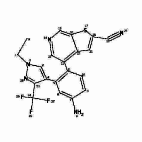 CCn1cc(-c2cc(N)ccc2-c2cncc3sc(C#N)cc23)c(C(F)(F)F)n1